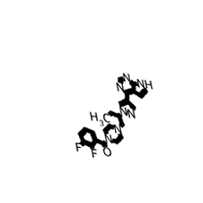 CCC(CN1CCN(C(=O)c2cccc(F)c2F)CC1)n1cc(-c2ncnc3[nH]ccc23)cn1